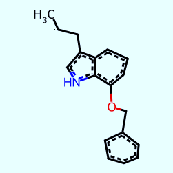 C[CH]Cc1c[nH]c2c(OCc3ccccc3)cccc12